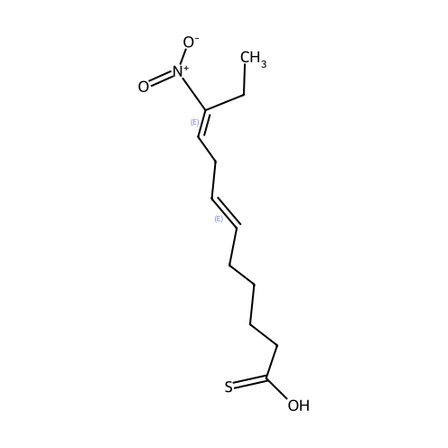 CC/C(=C\C/C=C/CCCCC(O)=S)[N+](=O)[O-]